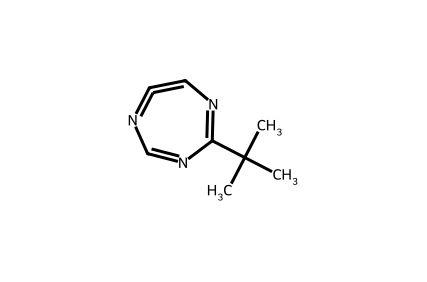 CC(C)(C)C1=NC=C=NC=N1